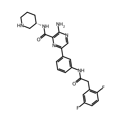 Nc1ncc(-c2cccc(NC(=O)Cc3cc(F)ccc3F)c2)nc1C(=O)N[C@H]1CCCNC1